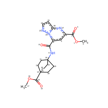 COC(=O)c1cc(C(=O)NC23CCC(C(=O)OC)(CC2)CC3)n2nccc2n1